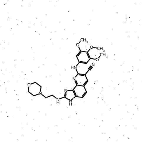 COc1cc(Nc2nc3c(ccc4[nH]c(NCCN5CCOCC5)nc43)cc2C#N)cc(OC)c1OC